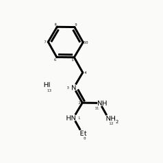 CCN/C(=N/Cc1ccccc1)NN.I